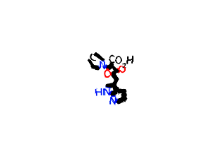 O=C(O)C1=C(N2CCCCCC2)OC(=Cc2c[nH]c3ncccc23)C1=O